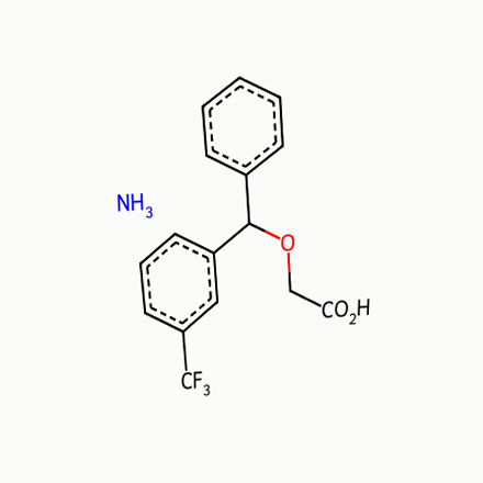 N.O=C(O)COC(c1ccccc1)c1cccc(C(F)(F)F)c1